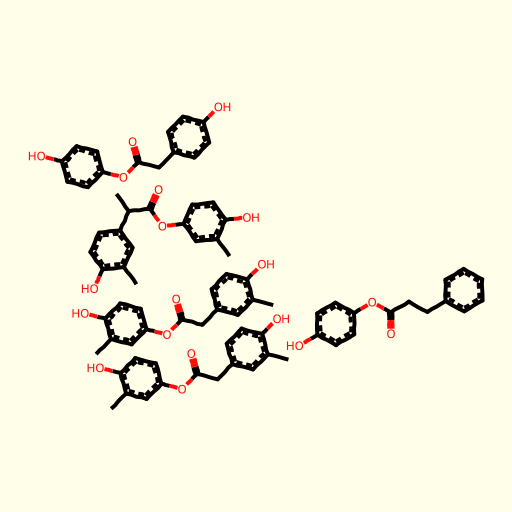 Cc1cc(CC(=O)Oc2ccc(O)c(C)c2)ccc1O.Cc1cc(CC(=O)Oc2ccc(O)c(C)c2)ccc1O.Cc1cc(OC(=O)C(C)c2ccc(O)c(C)c2)ccc1O.O=C(CCc1ccccc1)Oc1ccc(O)cc1.O=C(Cc1ccc(O)cc1)Oc1ccc(O)cc1